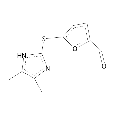 Cc1nc(Sc2ccc(C=O)o2)[nH]c1C